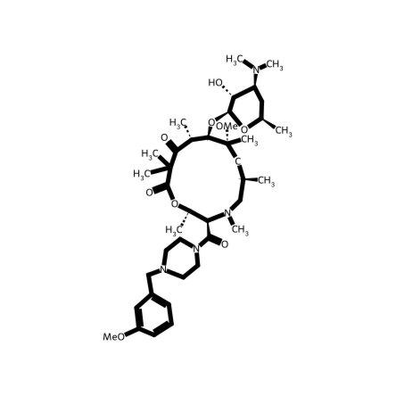 COc1cccc(CN2CCN(C(=O)[C@H]3[C@H](C)OC(=O)C(C)(C)C(=O)[C@H](C)[C@@H](O[C@@H]4O[C@H](C)C[C@H](N(C)C)[C@H]4O)[C@](C)(OC)C[C@@H](C)CN3C)CC2)c1